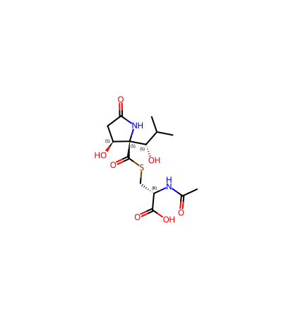 CC(=O)N[C@@H](CSC(=O)[C@]1([C@@H](O)C(C)C)NC(=O)C[C@@H]1O)C(=O)O